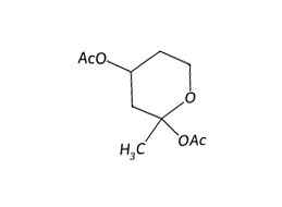 CC(=O)OC1CCOC(C)(OC(C)=O)C1